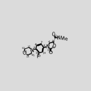 CNC(=O)[C@H]1CN(c2ccc(N3CCOCC3)c(F)c2)C(=O)O1